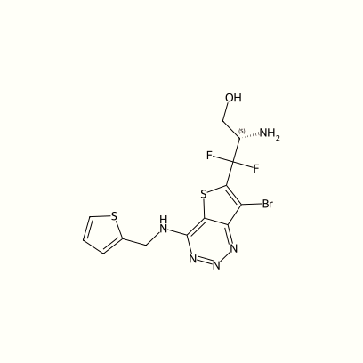 N[C@@H](CO)C(F)(F)c1sc2c(NCc3cccs3)nnnc2c1Br